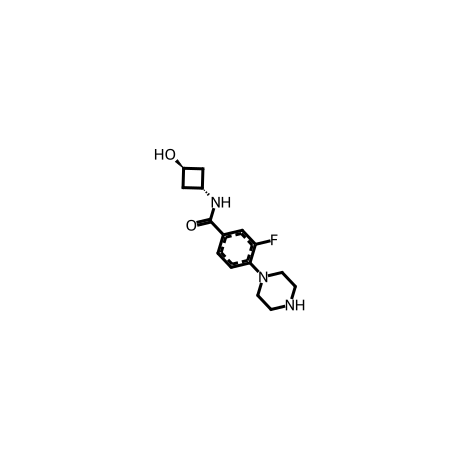 O=C(N[C@H]1C[C@H](O)C1)c1ccc(N2CCNCC2)c(F)c1